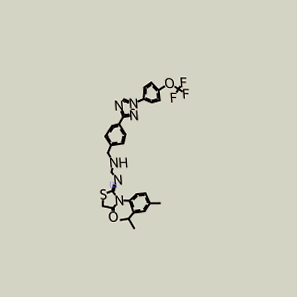 Cc1ccc(N2C(=O)CS/C2=N\CNCc2ccc(-c3ncn(-c4ccc(OC(F)(F)F)cc4)n3)cc2)c(C(C)C)c1